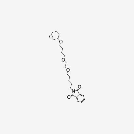 O=C1c2ccccc2C(=O)N1CCCCCOCCOCCCCOC1CCCOC1